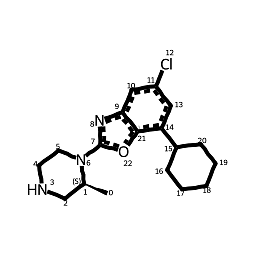 C[C@H]1CNCCN1c1nc2cc(Cl)cc(C3CCCCC3)c2o1